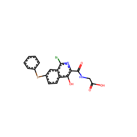 O=C(O)CNC(=O)c1nc(Br)c2cc(Sc3ccccc3)ccc2c1O